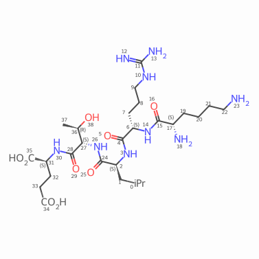 CC(C)C[C@H](NC(=O)[C@H](CCCNC(=N)N)NC(=O)[C@@H](N)CCCCN)C(=O)N[C@H](C(=O)N[C@@H](CCC(=O)O)C(=O)O)[C@@H](C)O